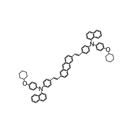 C(=Cc1ccc2cc3cc(C=Cc4ccc(N(c5ccc(OC6CCCCC6)cc5)c5cccc6ccccc56)cc4)ccc3cc2c1)c1ccc(N(c2ccc(OC3CCCCC3)cc2)c2cccc3ccccc23)cc1